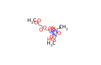 C=CCn1c(=O)n(CC(O)CC)c(=O)n(CC(O)COC(=O)CCC(=O)OC)c1=O